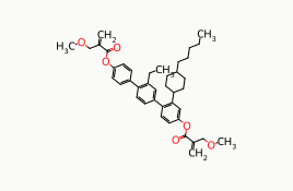 C=C(COC)C(=O)Oc1ccc(-c2ccc(-c3ccc(OC(=O)C(=C)COC)cc3C3CCC(CCCCC)CC3)cc2CC)cc1